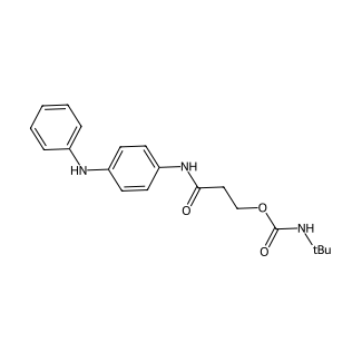 CC(C)(C)NC(=O)OCCC(=O)Nc1ccc(Nc2ccccc2)cc1